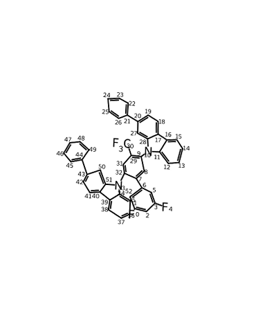 Fc1cc(F)cc(-c2cc(-n3c4ccccc4c4ccc(-c5ccccc5)cc43)c(C(F)(F)F)cc2-n2c3ccccc3c3ccc(-c4ccccc4)cc32)c1